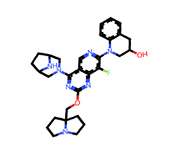 OC1Cc2ccccc2N(c2ncc3c(N4CC5CCC(C4)N5)nc(OCC45CCCN4CCC5)nc3c2F)C1